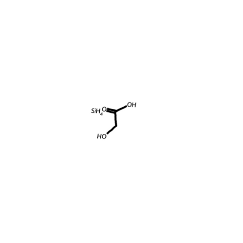 O=C(O)CO.[SiH4]